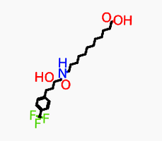 O=C(O)CCCCCCCCCCCNC(=O)C(O)CCc1ccc(C(F)(F)F)cc1